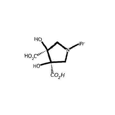 CC(C)N1C[C@@](O)(C(=O)O)[C@@](O)(C(=O)O)C1